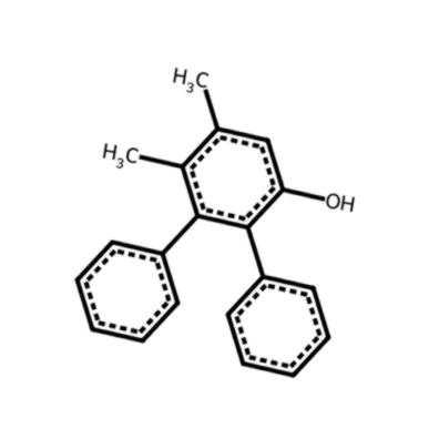 Cc1cc(O)c(-c2ccccc2)c(-c2ccccc2)c1C